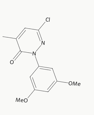 COc1cc(OC)cc(-n2nc(Cl)cc(C)c2=O)c1